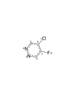 Fc1cnn[c]c1Cl